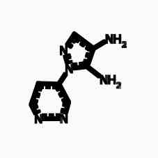 Nc1cnn(-c2ccnnc2)c1N